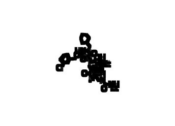 CCNC(=O)NCCN(C)C(=O)CC[C@H](NC(=O)[C@H](CC1CCCCC1)NC(=O)OCc1cccc(Cl)c1)C(O)P(=O)(OCC)OCC